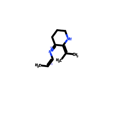 C/C=C\N=C1\CCCNC1=C(C)C